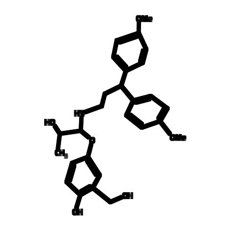 COc1ccc(C(CCNC(Oc2ccc(O)c(CO)c2)C(C)O)c2ccc(OC)cc2)cc1